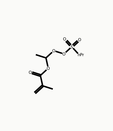 C=C(C)C(=O)OC(C)OOS(=O)(=O)CCC